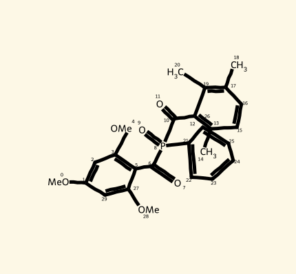 COc1cc(OC)c(C(=O)P(=O)(C(=O)c2c(C)ccc(C)c2C)c2ccccc2)c(OC)c1